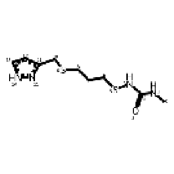 CNC(=O)NSCCCSCc1cc[nH]n1